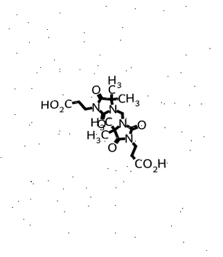 CC1(C)C(=O)N(CCC(=O)O)C(=O)N1CN1C(=O)N(CCC(=O)O)C(=O)C1(C)C